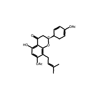 CC(=O)OC1=CCC([C@@H]2CC(=O)c3c(O)cc(OC(C)=O)c(CC=C(C)C)c3O2)C=C1